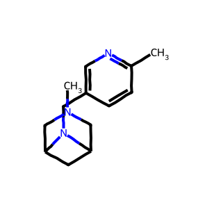 Cc1ccc(CN2C3CC2CN(C)C3)cn1